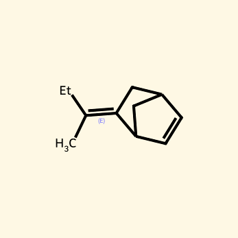 CC/C(C)=C1\CC2C=CC1C2